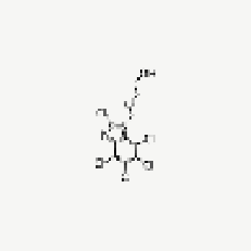 OCCOCn1c(Cl)nc2c(Cl)c(Cl)c(Cl)c(Cl)c21